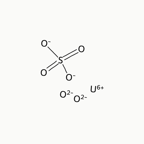 O=S(=O)([O-])[O-].[O-2].[O-2].[U+6]